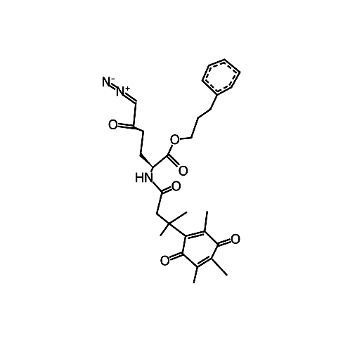 CC1=C(C)C(=O)C(C(C)(C)CC(=O)N[C@@H](CCC(=O)C=[N+]=[N-])C(=O)OCCCc2ccccc2)=C(C)C1=O